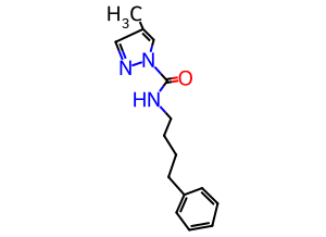 Cc1cnn(C(=O)NCCCCc2ccccc2)c1